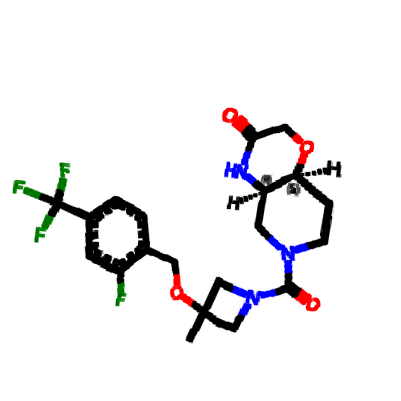 CC1(OCc2ccc(C(F)(F)F)cc2F)CN(C(=O)N2CC[C@@H]3OCC(=O)N[C@@H]3C2)C1